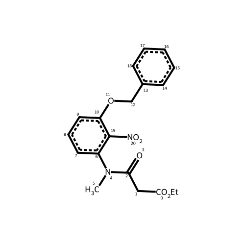 CCOC(=O)CC(=O)N(C)c1cccc(OCc2ccccc2)c1[N+](=O)[O-]